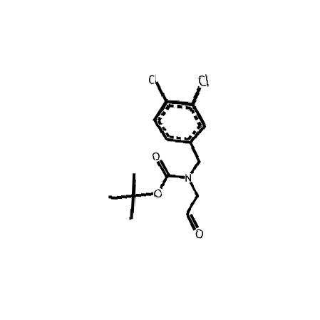 CC(C)(C)OC(=O)N(CC=O)Cc1ccc(Cl)c(Cl)c1